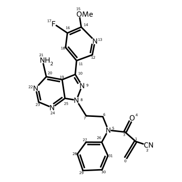 C=C(C#N)C(=O)N(CCn1nc(-c2cnc(OC)c(F)c2)c2c(N)ncnc21)c1ccccc1